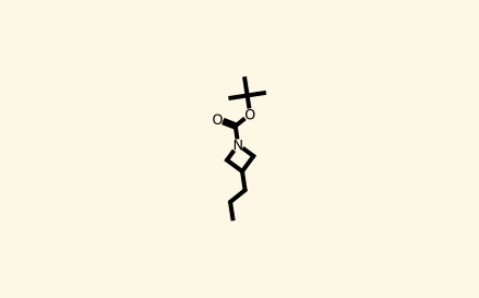 CCCC1CN(C(=O)OC(C)(C)C)C1